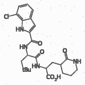 CC(C)(C)CC(NC(=O)c1cc2cccc(Cl)c2[nH]1)C(=O)NC(CC1CCCNC1=O)C(=O)O